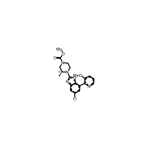 COc1cccnc1-c1cc(Cl)cc2nc(N3CCN(C(=O)OC(C)(C)C)C[C@@H]3C)oc12